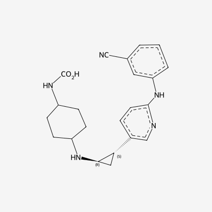 N#Cc1cccc(Nc2ccc([C@@H]3C[C@H]3NC3CCC(NC(=O)O)CC3)cn2)c1